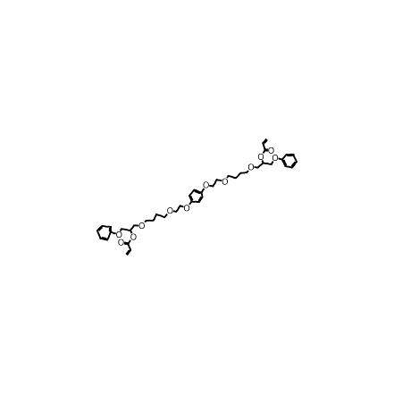 C=CC(=O)OC(COCCCCOCCOc1ccc(OCCOCCCCOCC(COc2ccccc2)OC(=O)C=C)cc1)COc1ccccc1